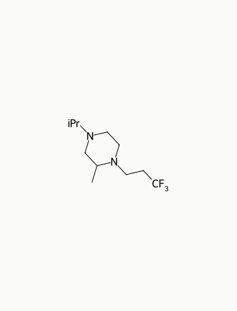 CC(C)N1CCN(CCC(F)(F)F)C(C)C1